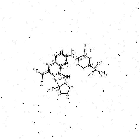 C[C@@H]1CN(S(C)(=O)=O)CC[C@@H]1Nc1ncc2cc(C(F)F)nc(NC3CCCC3(F)F)c2n1